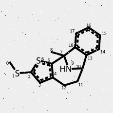 CSc1cc2c(s1)C1(C)NC(CC2)c2ccccc21